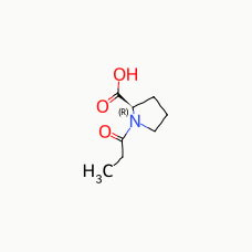 CCC(=O)N1CCC[C@@H]1C(=O)O